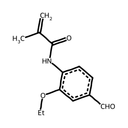 C=C(C)C(=O)Nc1ccc(C=O)cc1OCC